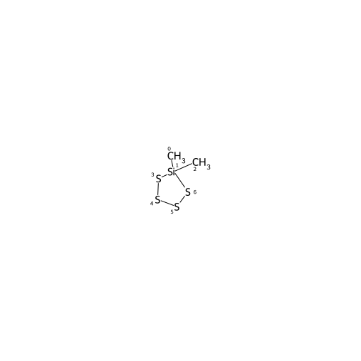 C[Si]1(C)SSSS1